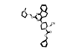 CN1CCC[C@H]1COc1nc2c(c(N3CCN(C(=O)OCc4ccccc4)[C@@H](CC#N)C3)n1)CCc1ccccc1-2